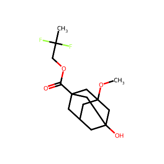 COC12CC3CC(O)(C1)CC(C(=O)OCC(C)(F)F)(C3)C2